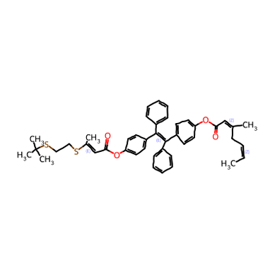 C/C=C\C/C(C)=C\C(=O)Oc1ccc(/C(=C(\c2ccccc2)c2ccc(OC(=O)/C=C(\C)SCCSC(C)(C)C)cc2)c2ccccc2)cc1